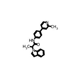 Cc1cc(-c2ccc(NC(=O)C(C)n3ccc4ccccc43)cc2)ccn1